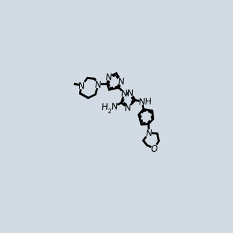 CN1CCCN(c2cc(-n3nc(Nc4ccc(N5CCOCC5)cc4)nc3N)ncn2)CC1